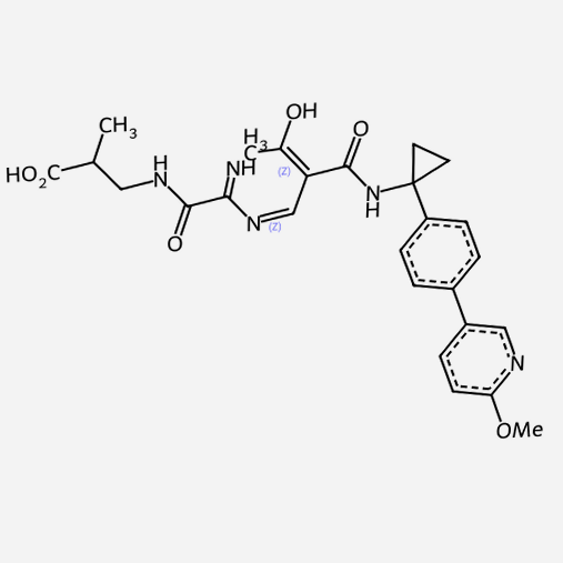 COc1ccc(-c2ccc(C3(NC(=O)C(/C=N\C(=N)C(=O)NCC(C)C(=O)O)=C(/C)O)CC3)cc2)cn1